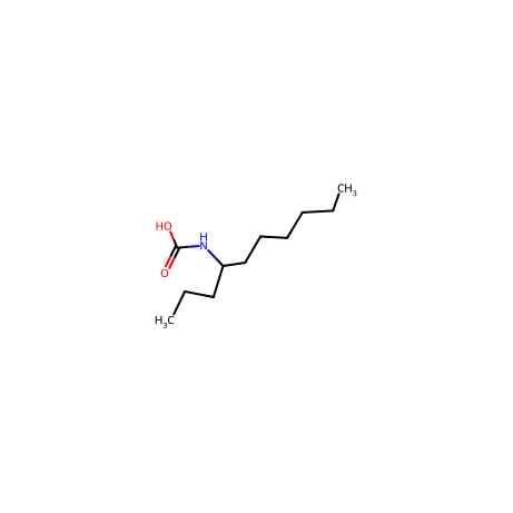 CCCCCCC(CCC)NC(=O)O